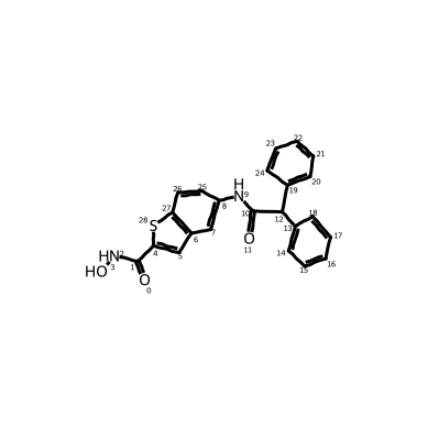 O=C(NO)c1cc2cc(NC(=O)C(c3ccccc3)c3ccccc3)ccc2s1